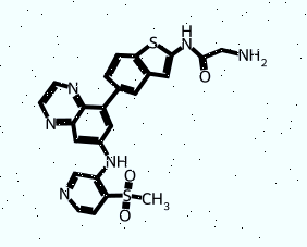 CS(=O)(=O)c1ccncc1Nc1cc(-c2ccc3sc(NC(=O)CN)cc3c2)c2nccnc2c1